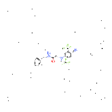 N#Cc1ccc(N(CC(=O)NCCc2ccccc2)CC(F)(F)F)cc1C(F)(F)F